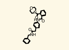 O=C(Cc1ccc(NC(=O)c2ccccc2C(=O)N2CCOCC2)cc1)NCc1ccccc1